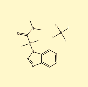 CN(C)C(=O)[N+](C)(C)n1nnc2ccccc21.F[B-](F)(F)F